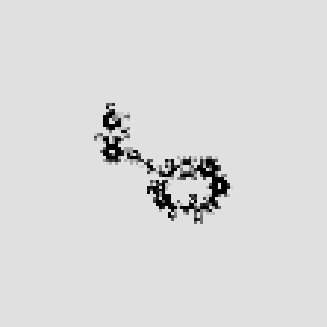 CS(=O)(=O)n1ccc(C(=O)NCC(=O)Nc2nc(-c3cccc(-c4ccnc(N5CCN(C(=O)CCOCCOCCNc6cccc7c6C(=O)N(C6CCC(=O)NC6=O)C7=O)CC5)c4)c3)cs2)c1